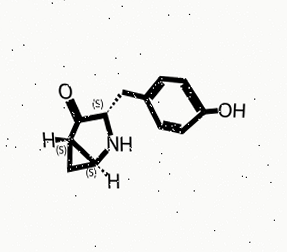 O=C1[C@H](Cc2ccc(O)cc2)N[C@H]2C[C@H]12